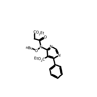 CCCCON(C(=O)CC(=O)OCC)c1ncnc(-c2ccccc2)c1C(=O)OCC